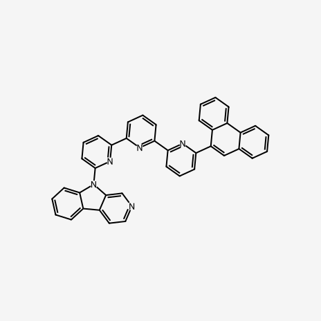 c1cc(-c2cccc(-c3cc4ccccc4c4ccccc34)n2)nc(-c2cccc(-n3c4ccccc4c4ccncc43)n2)c1